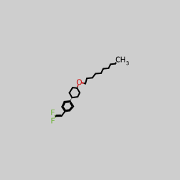 CCCCCCCCCCO[C@H]1CC[C@H](c2ccc(C=C(F)F)cc2)CC1